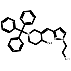 OCCn1ccc(/C=C2/CN(C(c3ccccc3)(c3ccccc3)c3ccccc3)CCC2O)n1